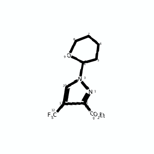 CCOC(=O)c1nn(C2CCCCO2)cc1C(F)(F)F